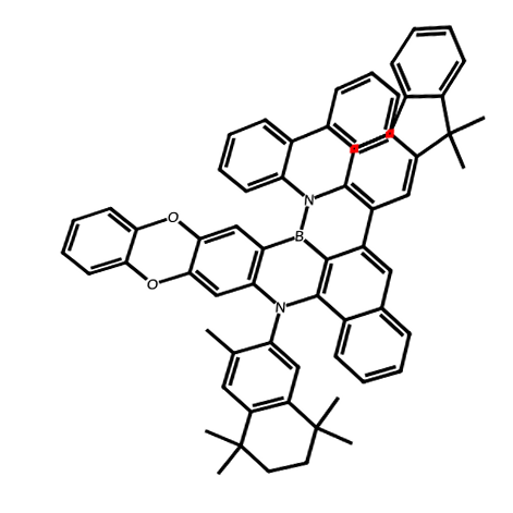 Cc1cc2c(cc1N1c3cc4c(cc3B3c5c(cc6ccccc6c51)-c1cc5c(cc1N3c1ccccc1-c1ccccc1)-c1ccccc1C5(C)C)Oc1ccccc1O4)C(C)(C)CCC2(C)C